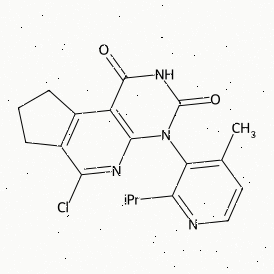 Cc1ccnc(C(C)C)c1-n1c(=O)[nH]c(=O)c2c3c(c(Cl)nc21)CCC3